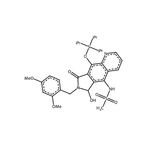 COc1ccc(CN2C(=O)c3c(c(NS(C)(=O)=O)c4cccnc4c3O[Si](C(C)C)(C(C)C)C(C)C)C2O)c(OC)c1